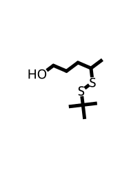 CC(CCCO)SSC(C)(C)C